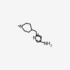 CN1CCC(Cn2cc(N)cn2)CC1